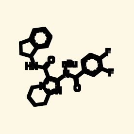 CCCCN(C(=O)c1ccc(F)c(F)c1)c1nc2n(c1C(=O)NC1CCc3ccccc31)CCCC2